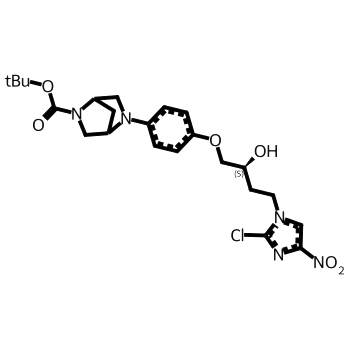 CC(C)(C)OC(=O)N1CC2CC1CN2c1ccc(OC[C@@H](O)CCn2cc([N+](=O)[O-])nc2Cl)cc1